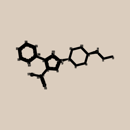 CCO[C@H]1CC[C@H](n2cc([N+](=O)[O-])c(-c3ccccn3)n2)CC1